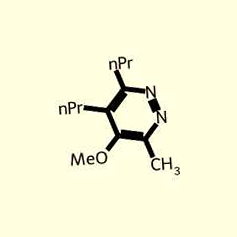 CCCc1nnc(C)c(OC)c1CCC